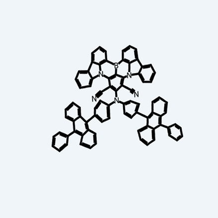 N#Cc1c(N(c2ccc(-c3c4ccccc4c(-c4ccccc4)c4ccccc34)cc2)c2ccc(-c3c4ccccc4c(-c4ccccc4)c4ccccc34)cc2)c(C#N)c2c3c1-n1c4ccccc4c4cccc(c41)B3c1cccc3c4ccccc4n-2c13